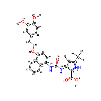 COC(=O)c1[nH]c(C(C)(C)C)c(C)c1NC(=O)Nc1ccc(OCCc2ccc(OC)c(OC)c2)c2ccccc12